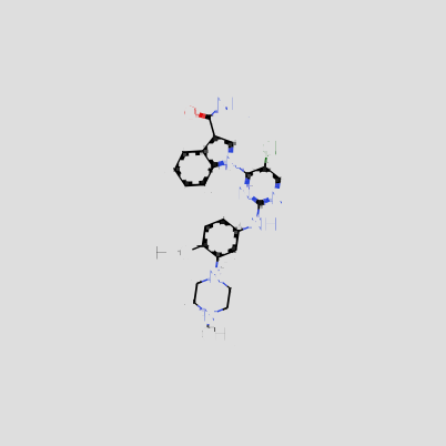 Cc1ccc(Nc2ncc(Cl)c(-n3cc(C(N)=O)c4ccccc43)n2)cc1N1CCN(C)CC1